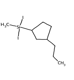 CCCC1CCC([Si](C)(I)I)C1